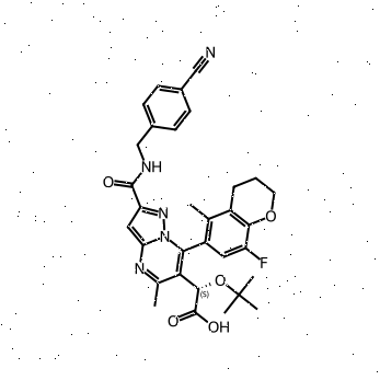 Cc1nc2cc(C(=O)NCc3ccc(C#N)cc3)nn2c(-c2cc(F)c3c(c2C)CCCO3)c1[C@H](OC(C)(C)C)C(=O)O